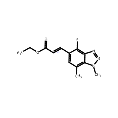 CCOC(=O)/C=C/c1cc(C)c2c(nnn2C)c1F